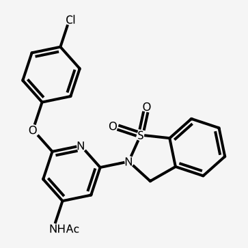 CC(=O)Nc1cc(Oc2ccc(Cl)cc2)nc(N2Cc3ccccc3S2(=O)=O)c1